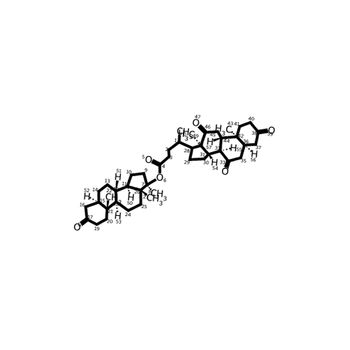 CC(CCC(=O)O[C@]1(C)CC[C@@H]2[C@H]3CC[C@@H]4CC(=O)CC[C@@]4(C)[C@@H]3CC[C@]21C)C1CC[C@H]2[C@@H]3C(=O)C[C@@H]4CC(=O)CC[C@]4(C)[C@H]3CC(=O)[C@]12C